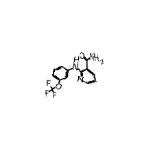 NC(=O)c1cccnc1Nc1cccc(OC(F)(F)F)c1